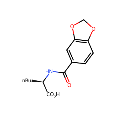 CCCC[C@@H](NC(=O)c1ccc2c(c1)OCO2)C(=O)O